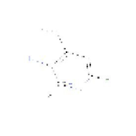 CNc1cc(Cl)nc(C(F)(F)F)c1N